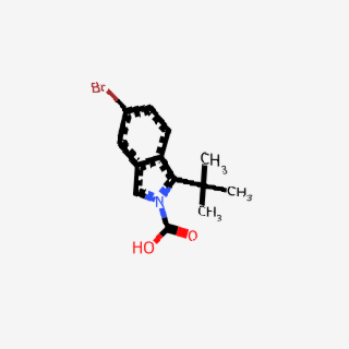 CC(C)(C)c1c2ccc(Br)cc2cn1C(=O)O